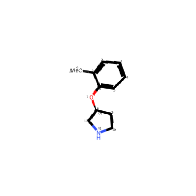 COc1ccccc1O[C@H]1CCNC1